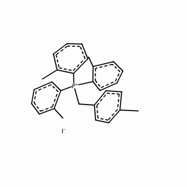 Cc1ccc(C[P+](c2ccccc2C)(c2ccccc2C)c2ccccc2C)cc1.[I-]